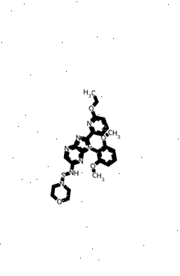 CCOc1cccc(-c2nc3ncc(NSN4CCOCC4)nc3n2-c2c(OC)cccc2OC)n1